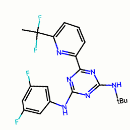 CC(C)(C)Nc1nc(Nc2cc(F)cc(F)c2)nc(-c2cccc(C(C)(F)F)n2)n1